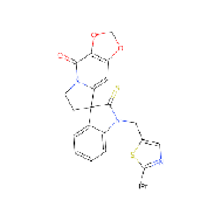 CC(C)c1ncc(CN2C(=S)C3(CCn4c3cc3c(c4=O)OCO3)c3ccccc32)s1